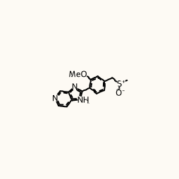 COc1cc(C[S+](C)[O-])ccc1-c1nc2cnccc2[nH]1